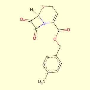 O=C(OCc1ccc([N+](=O)[O-])cc1)C1=CCS[C@@H]2C(=O)C(=O)N12